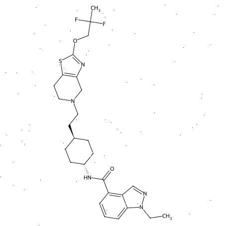 CCn1ncc2c(C(=O)N[C@H]3CC[C@H](CCN4CCc5sc(OCC(C)(F)F)nc5C4)CC3)cccc21